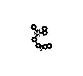 c1ccc(-c2nc(-c3cccc(-c4ccc5sc6cc7ccccc7cc6c5c4)c3)nc(-c3cccc4ccccc34)n2)cc1